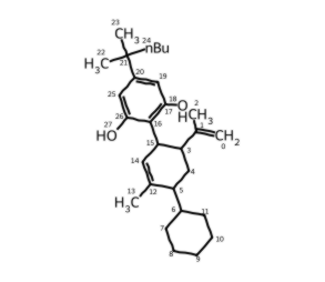 C=C(C)C1CC(C2CCCCC2)C(C)=CC1c1c(O)cc(C(C)(C)CCCC)cc1O